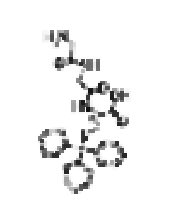 NCC(=O)NCC(=O)N[C@@H](CSC(c1ccccc1)(c1ccccc1)c1ccccc1)C(=O)O